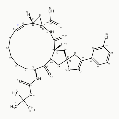 CC(C)(C)OC(=O)N[C@H]1CCCCC/C=C\[C@@H]2C[C@@]2(C(=O)O)NC(=O)[C@@H]2C[C@]3(CC(c4cccc(Cl)c4)=NO3)CN2C1=O